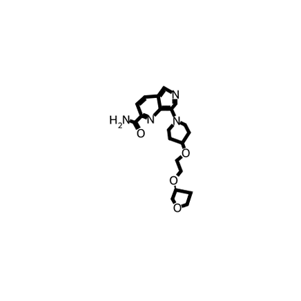 NC(=O)c1ccc2cncc(N3CCC(OCCO[C@@H]4CCOC4)CC3)c2n1